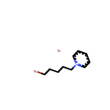 BrCCCCC[n+]1ccccc1.[Br-]